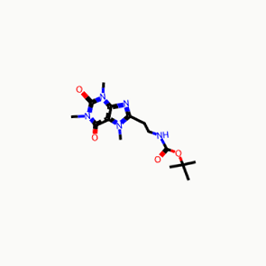 Cn1c(=O)c2c(nc(CCNC(=O)OC(C)(C)C)n2C)n(C)c1=O